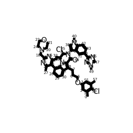 Cc1cc(OCCCc2c3n(c4c(-c5c(C)nc(CN6CCOCC6)nc5C)cccc24)C(C)[C@@H](Cl)N(c2cn(C)c4ccc(-c5ncn(C)n5)cc24)C3=O)cc(C)c1Cl